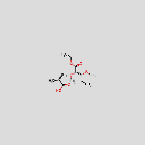 C=C(C)C(=O)O.CCOC(=O)C(OC)=C(CC)OC